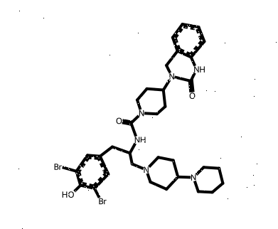 O=C(NC(Cc1cc(Br)c(O)c(Br)c1)CN1CCC(N2CCCCC2)CC1)N1CCC(N2Cc3ccccc3NC2=O)CC1